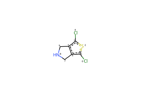 Clc1sc(Cl)c2c1CNC2